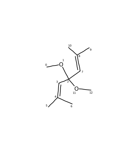 COC(C=C(C)C)(C=C(C)C)OC